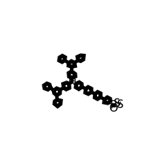 O=P(=S=S)c1ccc(-c2ccc(-c3ccc(-c4ccc(N(c5ccc(-c6cc(-c7ccccc7)cc(-c7ccccc7)c6)cc5)c5ccc(-c6cc(-c7ccccc7)cc(-c7ccccc7)c6)cc5)cc4)cc3)cc2)cc1